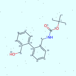 CC(C)(C)OC(=O)NCc1ccccc1-c1ccccc1CO